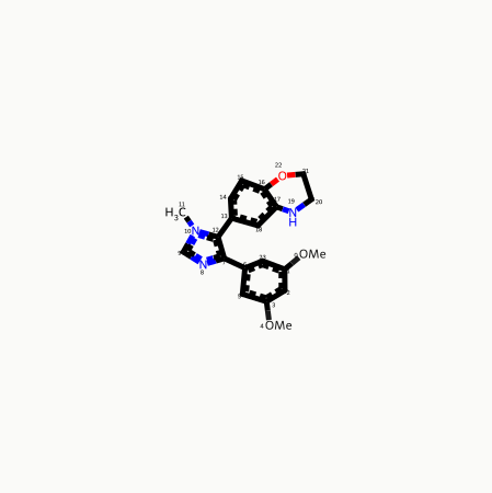 COc1cc(OC)cc(-c2ncn(C)c2-c2ccc3c(c2)NCCO3)c1